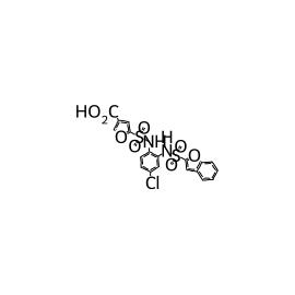 O=C(O)c1coc(S(=O)(=O)Nc2ccc(Cl)cc2NS(=O)(=O)c2cc3ccccc3o2)c1